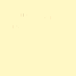 Cc1cccc(S)c1C.c1ccc(-c2ccccc2)cc1